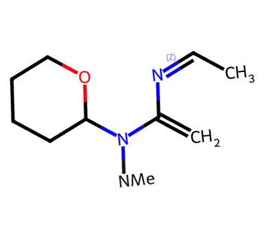 C=C(/N=C\C)N(NC)C1CCCCO1